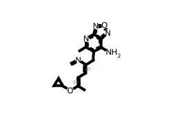 C=N/C(=C\C=C(/C)OC1CC1)Cc1c(C)nc2nonc2c1N